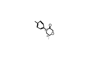 Cc1ccc(N2C[C@@H](C)OCC2=O)cc1